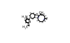 C=Nc1ccc(N)c(N2CCCC(O/C3=C/CCC/C=C(/F)CC=C3C)CC2)n1